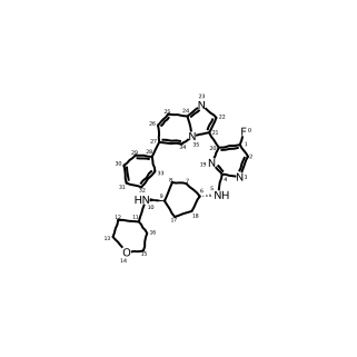 Fc1cnc(N[C@H]2CC[C@H](NC3CCOCC3)CC2)nc1-c1cnc2ccc(-c3ccccc3)cn12